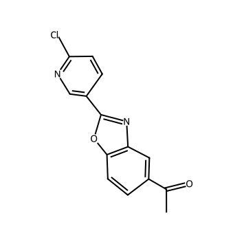 CC(=O)c1ccc2oc(-c3ccc(Cl)nc3)nc2c1